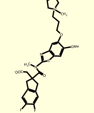 COc1cc2sc(N(C)C(=O)C3(CC(=O)[O-])Cc4cc(F)c(F)cc4C3)nc2cc1OCCC[N+]1(C)CCCC1